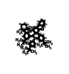 CC(C)(C)c1ccc(N2B3c4cc(C(C)(C)C)cc5c4N(c4cc6c(oc7ccccc76)c(c43)-c3ccc(C(C)(C)C)cc32)C2(C)CCCCC52C)cc1